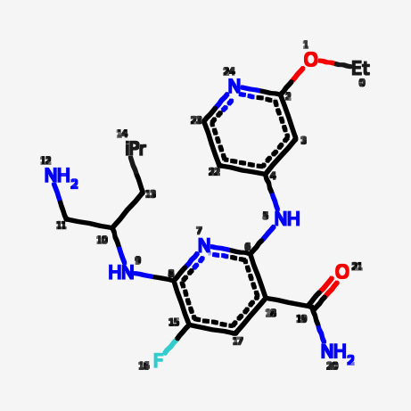 CCOc1cc(Nc2nc(NC(CN)CC(C)C)c(F)cc2C(N)=O)ccn1